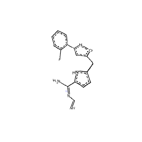 N=C/N=C(/N)c1ccc(Cc2cc(-c3ccccc3F)no2)[nH]1